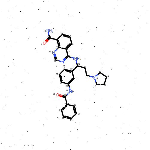 NC(=O)c1cccc2c(NC(CCN3CCCC3)c3cccc(NC(=O)c4ccccc4)c3)ncnc12